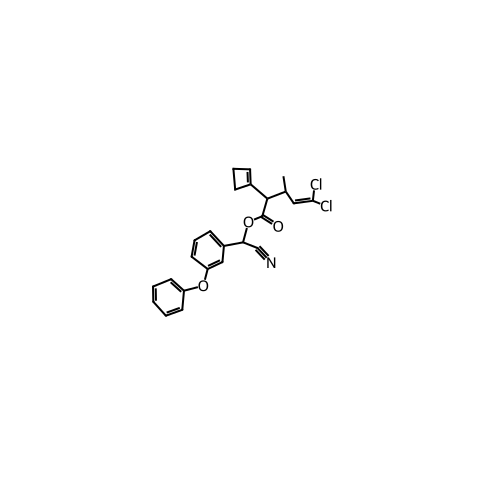 CC(C=C(Cl)Cl)C(C(=O)OC(C#N)c1cccc(Oc2ccccc2)c1)C1=CCC1